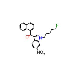 O=C(c1cccc2ccccc12)c1cn(CCCCCF)c2cc([N+](=O)[O-])ccc12